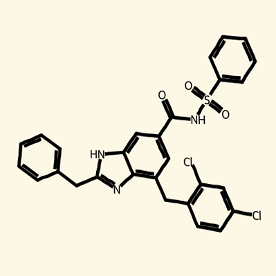 O=C(NS(=O)(=O)c1ccccc1)c1cc(Cc2ccc(Cl)cc2Cl)c2nc(Cc3ccccc3)[nH]c2c1